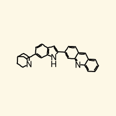 c1ccc2nc3cc(-c4cc5ccc(C6CC7CCN6CC7)cc5[nH]4)ccc3cc2c1